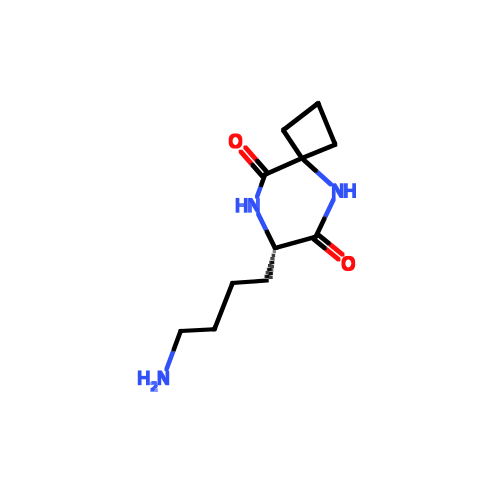 NCCCC[C@@H]1NC(=O)C2(CCC2)NC1=O